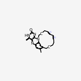 C=c1[nH]c(=O)nc2c1=Nc1cc(C)c3cc1N2CCC/C=C/C=C/CCCC3